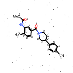 COC(=O)Nc1cc(C(=O)N2CCC(c3ccc(C#N)cc3)CC2)ccc1C